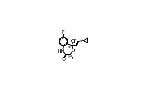 C[C@@H]1O[C@](C=CC2CC2)(C(F)(F)F)c2cc(F)ccc2NC1=O